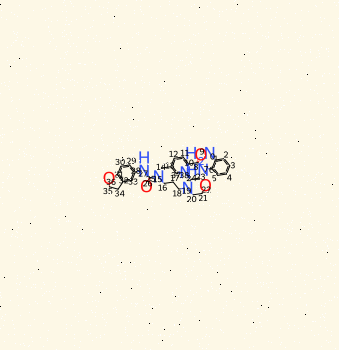 Nc1ccccc1NC(=O)c1ccc(CN(CCCN2CCOCC2)C(=O)Nc2ccc3c(c2)CCO3)cn1